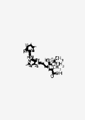 CC(CN(CCc1nc2c(NCc3ncccc3F)ncnc2s1)C(=O)OC(C)(C)C)C(=O)O